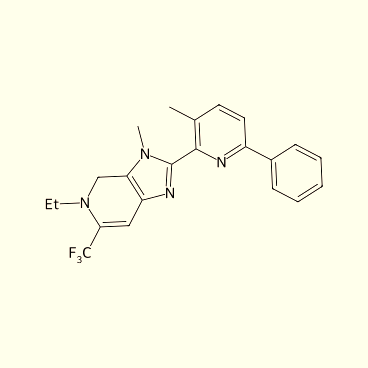 CCN1Cc2c(nc(-c3nc(-c4ccccc4)ccc3C)n2C)C=C1C(F)(F)F